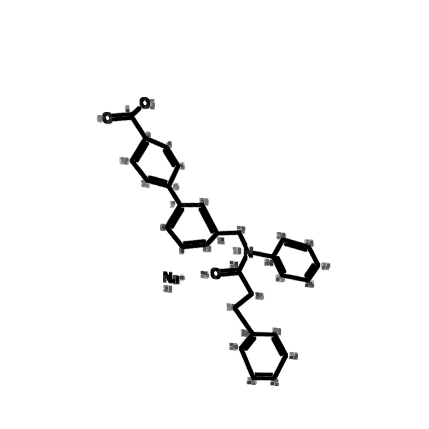 O=C([O-])c1ccc(-c2cccc(CN(C(=O)CCc3ccccc3)c3ccccc3)c2)cc1.[Na+]